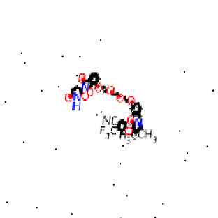 CC1(C)CN(Cc2ccc(OCCOCCOCCOc3cccc4c3C(=O)N(C3CCC(=O)NC3=O)C4=O)cc2)C(=O)C1Oc1ccc(C#N)c(C(F)(F)F)c1